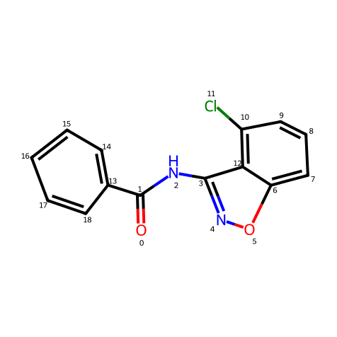 O=C(Nc1noc2cccc(Cl)c12)c1ccccc1